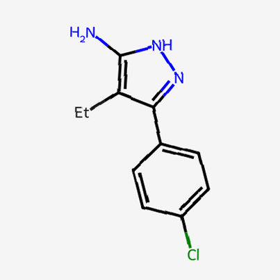 CCc1c(-c2ccc(Cl)cc2)n[nH]c1N